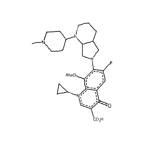 COc1c(N2CC3CCCN(C4CCN(C)CC4)C3C2)c(F)cc2c(=O)c(C(=O)O)cn(C3CC3)c12